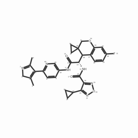 CC1=NCC(C)=C1c1ccc(NC(=O)[C@@H](NC(=O)c2nonc2C2CC2)C2c3ccc(F)cc3OCC23CC3)cn1